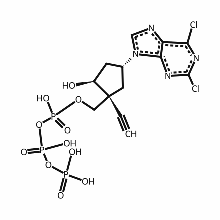 C#C[C@]1(COP(=O)(O)OP(=O)(O)OP(=O)(O)O)C[C@@H](n2cnc3c(Cl)nc(Cl)nc32)C[C@@H]1O